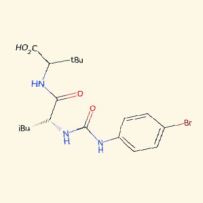 CC[C@@H](C)[C@@H](NC(=O)Nc1ccc(Br)cc1)C(=O)NC(C(=O)O)C(C)(C)C